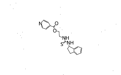 O=C(OCCNC(=S)NC1CCc2ccccc21)c1ccncc1